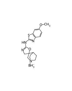 [BH3-][N+]12CCC(CC1)C1(CN=C(Nc3nc4ccc(OC)cc4s3)O1)C2